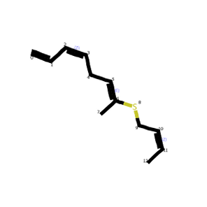 C=C/C=C\C/C=C(\C)SC/C=C\C